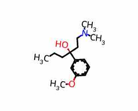 CCC[C@](O)(CCN(C)C)c1cccc(OC)c1